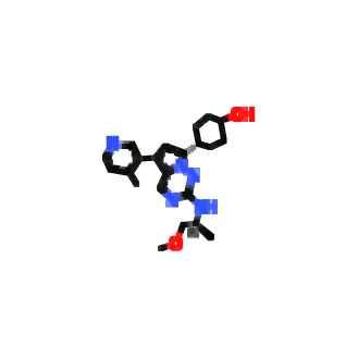 COC[C@H](C)Nc1ncc2c(-c3cnccc3C)cc([C@H]3CC[C@H](O)CC3)n2n1